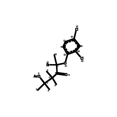 CC(=O)OC(C)(C)C(C)(C)C(=O)C(C)(Br)Oc1ccc(Cl)cc1Cl